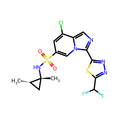 C[C@H]1C[C@@]1(C)NS(=O)(=O)c1cc(Cl)c2cnc(-c3nnc(C(F)F)s3)n2c1